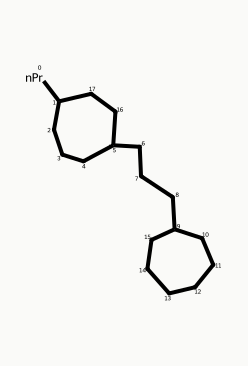 CCCC1CCC[C](CCCC2CCCCCC2)CC1